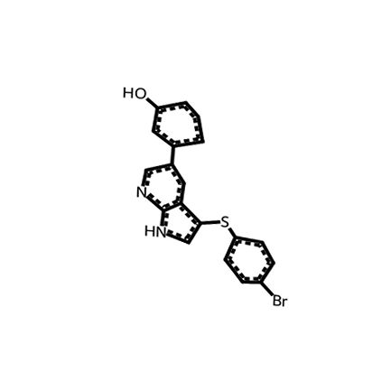 Oc1cccc(-c2cnc3[nH]cc(Sc4ccc(Br)cc4)c3c2)c1